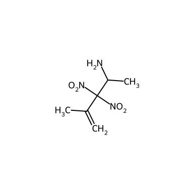 C=C(C)C(C(C)N)([N+](=O)[O-])[N+](=O)[O-]